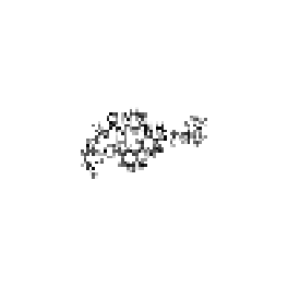 CN1CCN(CC23CC(C(=O)Nc4cc(Nc5cc(-c6cc(Cl)ccc6F)nnc5SCCO[Si](C)(C)C(C)(C)C)ncn4)(C2)C3)CC1